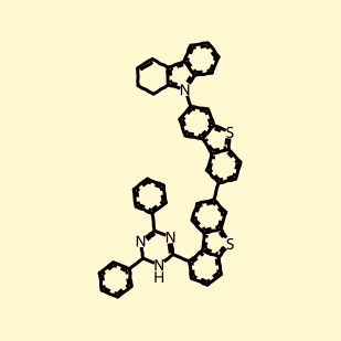 C1=Cc2c(n(-c3ccc4c(c3)sc3ccc(-c5ccc6c(c5)sc5cccc(C7=NC(c8ccccc8)=NC(c8ccccc8)N7)c56)cc34)c3ccccc23)CC1